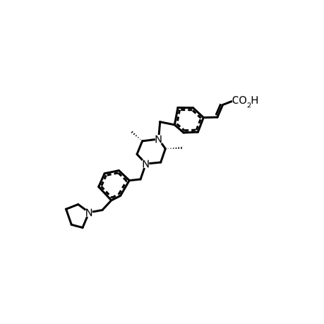 C[C@@H]1CN(Cc2cccc(CN3CCCC3)c2)C[C@H](C)N1Cc1ccc(/C=C/C(=O)O)cc1